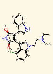 CCN(CC)CCn1cc(C2=C(c3c[nH]c4ccccc34)C(=O)NC2=O)c2c(F)cccc21